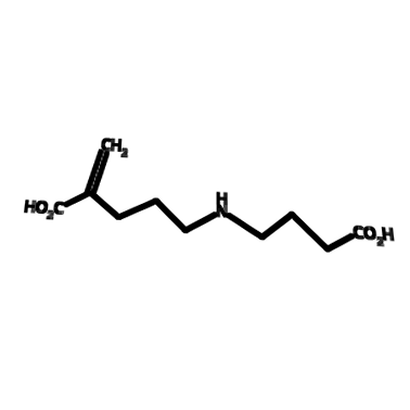 C=C(CCCNCCCC(=O)O)C(=O)O